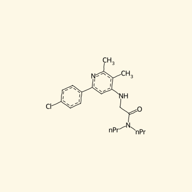 CCCN(CCC)C(=O)CNc1cc(-c2ccc(Cl)cc2)nc(C)c1C